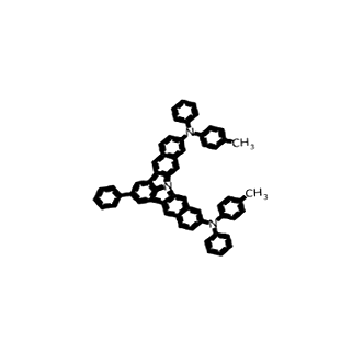 Cc1ccc(N(c2ccccc2)c2ccc3cc4c5cc(-c6ccccc6)cc6c7cc8ccc(N(c9ccccc9)c9ccc(C)cc9)cc8cc7n(c4cc3c2)c56)cc1